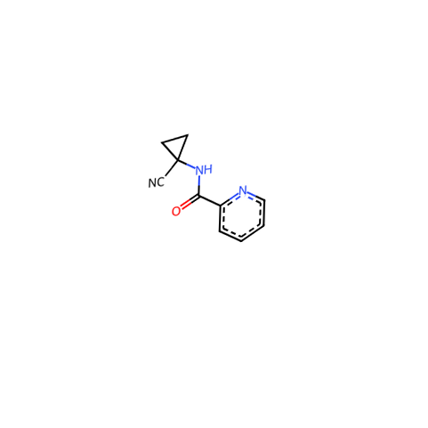 N#CC1(NC(=O)c2ccccn2)CC1